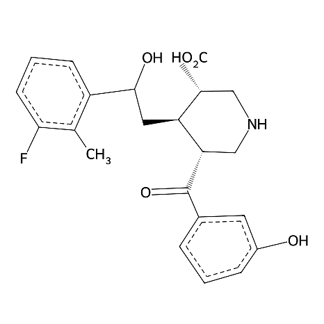 Cc1c(F)cccc1C(O)C[C@@H]1[C@@H](C(=O)c2cccc(O)c2)CNC[C@H]1C(=O)O